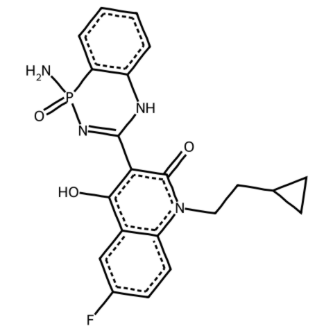 NP1(=O)N=C(c2c(O)c3cc(F)ccc3n(CCC3CC3)c2=O)Nc2ccccc21